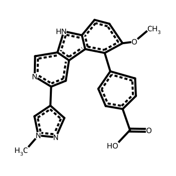 COc1ccc2[nH]c3cnc(-c4cnn(C)c4)cc3c2c1-c1ccc(C(=O)O)cc1